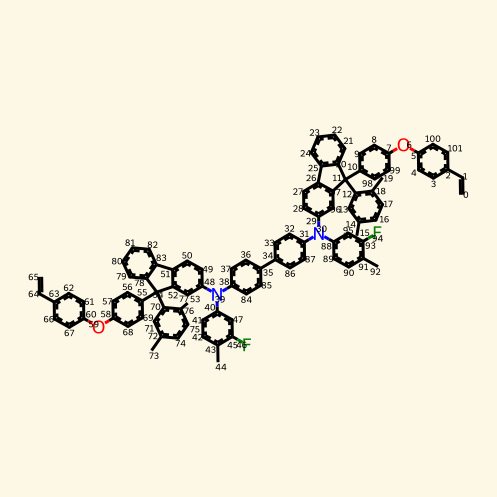 C=Cc1ccc(Oc2ccc(C3(c4cc(C)ccc4C)c4ccccc4-c4ccc(N(c5ccc(-c6ccc(N(c7ccc(C)c(F)c7)c7ccc8c(c7)C(c7ccc(Oc9ccc(C=C)cc9)cc7)(c7cc(C)ccc7C)c7ccccc7-8)cc6)cc5)c5ccc(C)c(F)c5)cc43)cc2)cc1